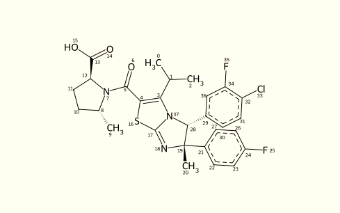 CC(C)C1=C(C(=O)N2[C@H](C)CC[C@H]2C(=O)O)SC2=N[C@@](C)(c3ccc(F)cc3)[C@@H](c3ccc(Cl)c(F)c3)N21